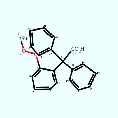 CC(C)(C)OOc1ccccc1C(C(=O)O)(c1ccccc1)c1ccccc1